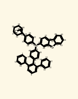 c1ccc(-c2cccc(-c3ccccc3)c2-c2ccc(N(c3ccc(C4CC5CCC4CC5)cc3)c3ccc4c(c3)sc3ccccc34)cc2)cc1